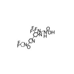 Cn1c(CNC(=O)O)nc2c(C(F)(F)F)cc(-c3ccc(C(=O)N4CCC(F)(F)CC4)cn3)cc21